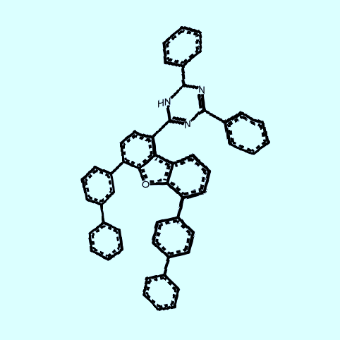 c1ccc(C2=NC(c3ccccc3)NC(c3ccc(-c4cccc(-c5ccccc5)c4)c4oc5c(-c6ccc(-c7ccccc7)cc6)cccc5c34)=N2)cc1